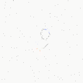 O=S1(=O)C=Cc2cnccc2N1